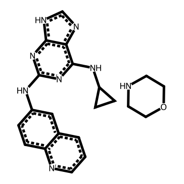 C1COCCN1.c1cnc2ccc(Nc3nc(NC4CC4)c4nc[nH]c4n3)cc2c1